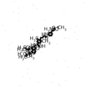 CCOC(=O)C[C@@H](N)c1cccc(NC(=O)CCCc2c(C)cc([C@@H](Nc3ccc4c(N(C(=O)OC(C)(C)C)C(=O)OC(C)(C)C)nccc4c3)C(=O)O)cc2C)c1